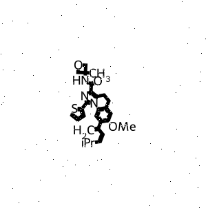 C=C(/C=C\C(C)C)c1cc2c(cc1OC)CCc1c(C(=O)NC3(C)COC3)nc(-c3cccs3)n1-2